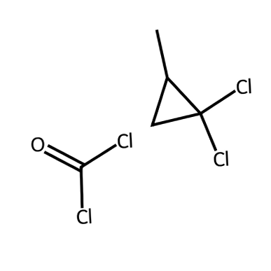 CC1CC1(Cl)Cl.O=C(Cl)Cl